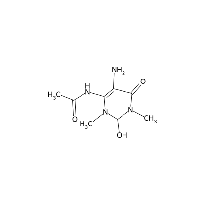 CC(=O)NC1=C(N)C(=O)N(C)C(O)N1C